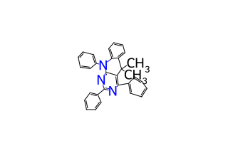 CC1(C)c2ccccc2N(c2ccccc2)c2nc(-c3ccccc3)nc(-c3ccccc3)c21